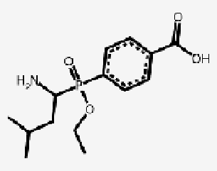 CCOP(=O)(c1ccc(C(=O)O)cc1)C(N)CC(C)C